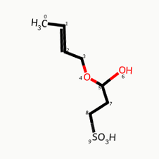 CC=CCOC(O)CCS(=O)(=O)O